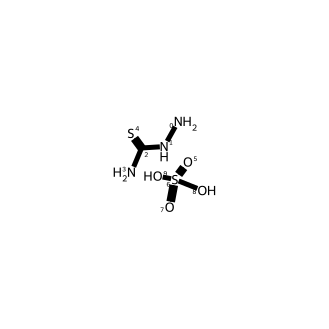 NNC(N)=S.O=S(=O)(O)O